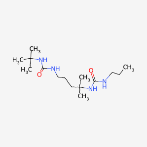 CCCNC(=O)NC(C)(C)CCCNC(=O)NC(C)(C)C